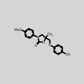 COc1ccc(N2CC(C)(COc3ccc(C#N)cc3)OC2=O)cc1